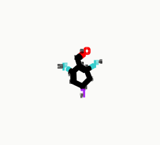 O=CC1=C(F)CC(I)C=C1F